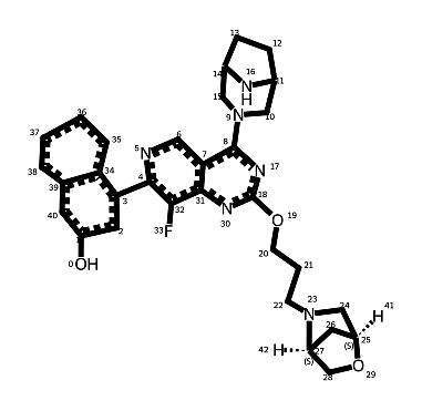 Oc1cc(-c2ncc3c(N4CC5CCC(C4)N5)nc(OCCCN4C[C@@H]5C[C@H]4CO5)nc3c2F)c2ccccc2c1